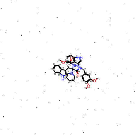 COc1ccc2[nH]cc(N(Cc3ccc(OC)c(OC)c3)C(=O)C(Cc3c[nH]c4ccccc34)(NC(C)=O)N3CC=CCC3)c2c1